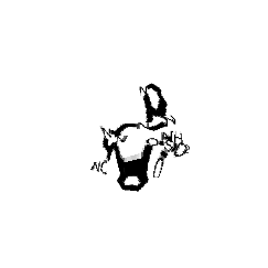 N#Cc1cnc(Cn2cnc3cccnc32)nc1-c1ccccc1OS(N)(=O)=O